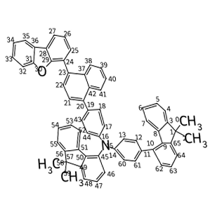 CC1(C)c2ccccc2-c2c(-c3ccc(N(c4ccc(-c5ccc(-c6cccc7c6oc6ccccc67)c6ccccc56)cc4)c4cccc5c4-c4ccccc4C5(C)C)cc3)cccc21